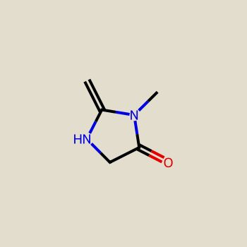 C=C1NCC(=O)N1C